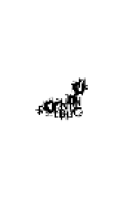 CC(C)(C)C(=O)n1nc(-c2ccncn2)cc1NCc1ccc(F)cc1